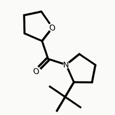 CC(C)(C)C1CCCN1C(=O)C1CCCO1